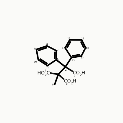 CC(C(=O)O)(C(=O)O)C(C(=O)O)(c1ccccc1)c1ccccc1